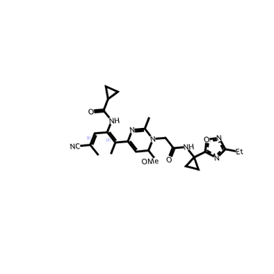 CCc1noc(C2(NC(=O)CN3C(C)=NC(/C(C)=C(/C=C(\C)C#N)NC(=O)C4CC4)=CC3OC)CC2)n1